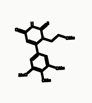 COCCn1c(-c2cc(OC)c(OC)c(OC)c2)cc(=O)[nH]c1=S